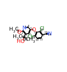 COc1ncc(Oc2c(Cl)ccc(C#N)c2Cl)cc1C(C)(C)O